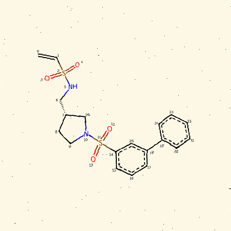 C=CS(=O)(=O)NC[C@H]1CCN(S(=O)(=O)c2cccc(-c3ccccc3)c2)C1